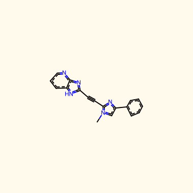 Cn1cc(-c2ccccc2)nc1C#Cc1nc2ncccc2[nH]1